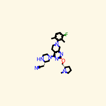 Cc1ccc(F)c(C)c1N1CCc2c(nc(OC[C@@H]3CCCN3C)nc2N2CCN[C@@H](CC#N)C2)C1